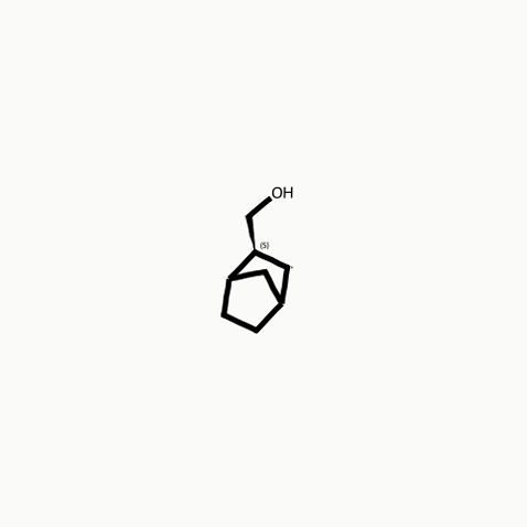 OC[C@H]1[CH]C2CCC1C2